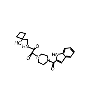 O=C(NCC1(O)CCC1)C(=O)N1CCN(C(=O)c2cc3ccccc3[nH]2)CC1